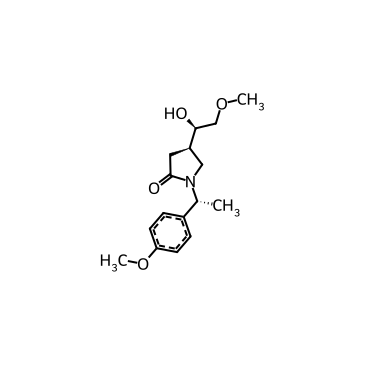 COC[C@H](O)[C@@H]1CC(=O)N([C@H](C)c2ccc(OC)cc2)C1